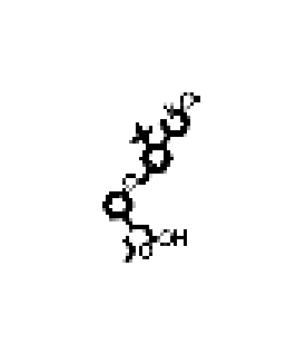 CCC[C@@H](CC(=O)O)c1cccc(OCc2ccc(-c3ccc(OC)nc3)c(C(C)(C)C)c2)c1